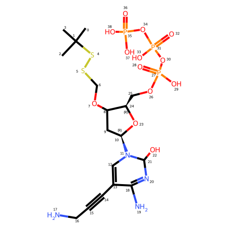 CC(C)(C)SSCOC1C[C@H](N2C=C(C#CCN)C(N)=NC2O)O[C@@H]1COP(=O)(O)OP(=O)(O)OP(=O)(O)O